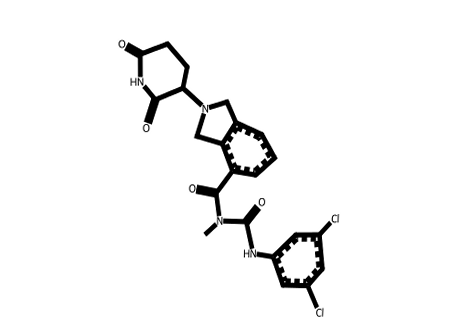 CN(C(=O)Nc1cc(Cl)cc(Cl)c1)C(=O)c1cccc2c1CN(C1CCC(=O)NC1=O)C2